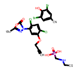 C#CCOc1cc(-n2nc(C(C)(C)C)oc2=O)c(Cl)cc1Cl.N#Cc1cc(Br)c(O)c(Br)c1.O=C(O)CNCP(=O)(O)O